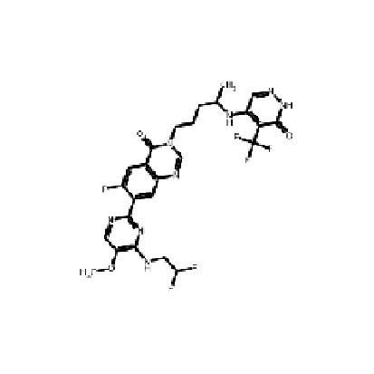 COc1cnc(-c2cc3ncn(CCCC(C)Nc4cn[nH]c(=O)c4C(F)(F)F)c(=O)c3cc2F)nc1NCC(F)F